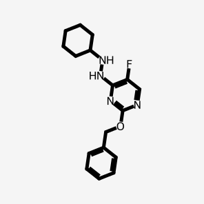 Fc1cnc(OCc2ccccc2)nc1NNC1CCCCC1